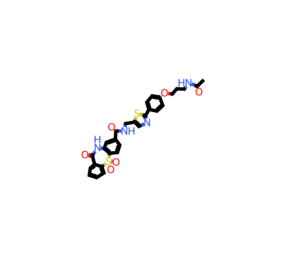 CC(=O)NCCCOc1ccc(-c2ncc(CNC(=O)c3ccc4c(c3)NC(=O)c3ccccc3S4(=O)=O)s2)cc1